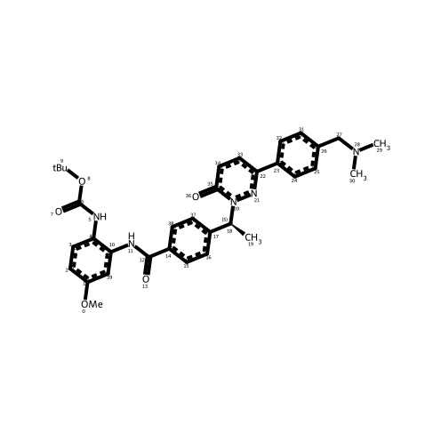 COc1ccc(NC(=O)OC(C)(C)C)c(NC(=O)c2ccc([C@H](C)n3nc(-c4ccc(CN(C)C)cc4)ccc3=O)cc2)c1